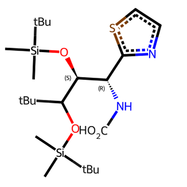 CC(C)(C)C(O[Si](C)(C)C(C)(C)C)[C@@H](O[Si](C)(C)C(C)(C)C)[C@@H](NC(=O)O)c1nccs1